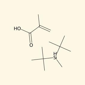 C=C(C)C(=O)O.C[SiH](C(C)(C)C)C(C)(C)C